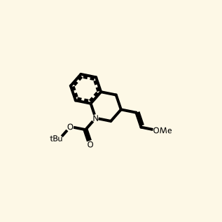 COC=CC1Cc2ccccc2N(C(=O)OC(C)(C)C)C1